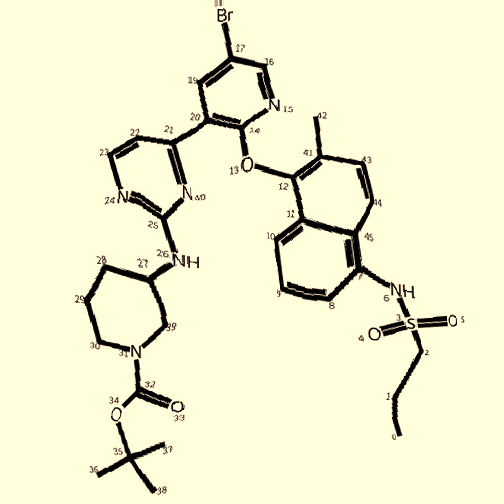 CCCS(=O)(=O)Nc1cccc2c(Oc3ncc(Br)cc3-c3ccnc(NC4CCCN(C(=O)OC(C)(C)C)C4)n3)c(C)ccc12